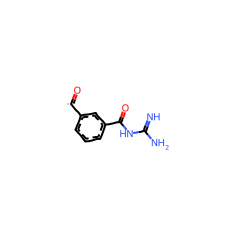 N=C(N)NC(=O)c1cccc([C]=O)c1